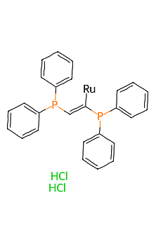 Cl.Cl.[Ru][C](=CP(c1ccccc1)c1ccccc1)P(c1ccccc1)c1ccccc1